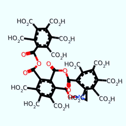 O=C(O)c1c(C(=O)O)c(C(=O)O)c(C(=O)OC(=O)c2c(C(=O)O)c(C(=O)O)c(C(=O)O)c(C(=O)ON3CC3)c2C(=O)OC(=O)c2c(C(=O)O)c(C(=O)O)c(C(=O)O)c(C(=O)O)c2C(=O)O)c(C(=O)O)c1C(=O)O